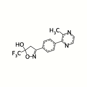 Cc1nccnc1-c1ccc(C2=NOC(O)(C(F)(F)F)C2)cc1